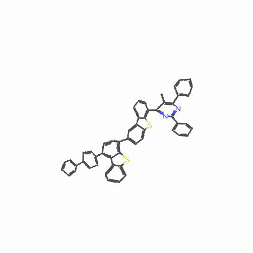 Cc1c(-c2ccccc2)nc(-c2ccccc2)nc1-c1cccc2c1sc1ccc(-c3ccc(-c4ccc(-c5ccccc5)cc4)c4c3sc3ccccc34)cc12